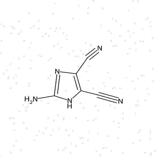 N#Cc1nc(N)[nH]c1C#N